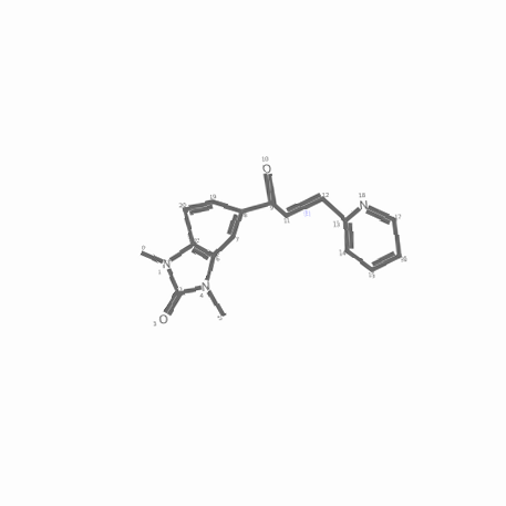 Cn1c(=O)n(C)c2cc(C(=O)/C=C/c3ccccn3)ccc21